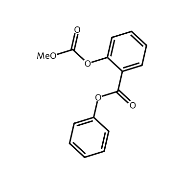 COC(=O)Oc1ccccc1C(=O)Oc1ccccc1